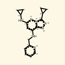 c1ccc(CNc2cc(NC3CC3)nn3c(C4CC4)nnc23)nc1